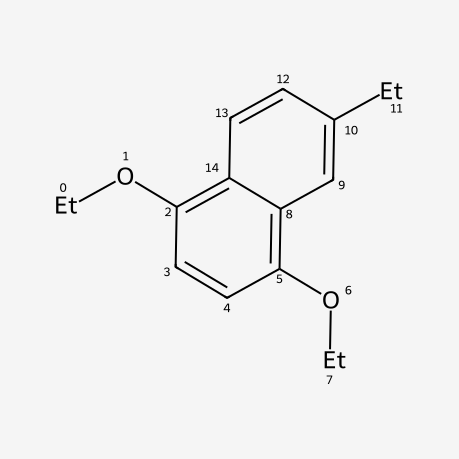 CCOc1ccc(OCC)c2cc(CC)ccc12